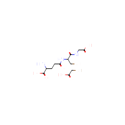 NC(CCC(=O)NC(CS)C(=O)NCC(=O)O)C(=O)O.O=C(O)CS